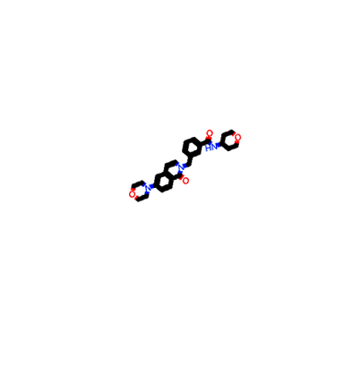 O=C(NC1CCOCC1)c1cccc(Cn2ccc3cc(N4CCOCC4)ccc3c2=O)c1